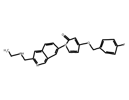 CCNCc1cc2ccc(-n3ccc(OCc4ccc(F)cc4)cc3=O)cc2cn1